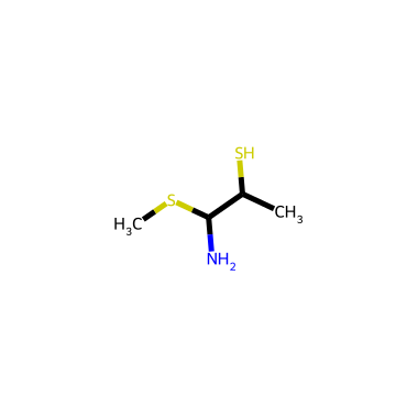 CSC(N)C(C)S